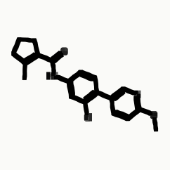 COc1ccc(-c2ccc(NC(=O)C3=C(C)CCC3)cc2Cl)cn1